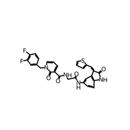 O=C(CNC(=O)c1cccn(Cc2ccc(F)c(F)c2)c1=O)Nc1ccc2c(c1)/C(=C\c1cccs1)C(=O)N2